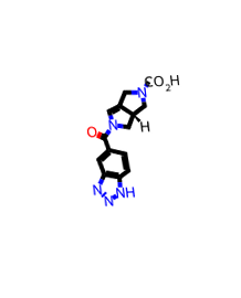 O=C(c1ccc2[nH]nnc2c1)N1C=C2CN(C(=O)O)C[C@@H]2C1